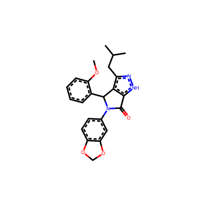 COc1ccccc1C1c2c(CC(C)C)n[nH]c2C(=O)N1c1ccc2c(c1)OCO2